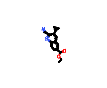 CCOC(=O)c1ccc2nc(C#N)c(C3CC3)cc2c1